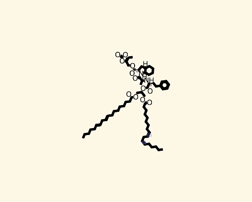 CCCCCC=CCC=CCCCCCCCC(=O)OCC(COC(=O)CCCCCCC/C=C\C/C=C\CCCCC)OC(=O)[C@H](CCc1ccccc1)NC(C)C(=O)N1[C@H](C(=O)OCc2oc(=O)oc2C)C[C@H]2CCCC[C@@H]21